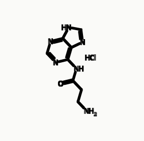 Cl.NCCC(=O)Nc1ncnc2[nH]cnc12